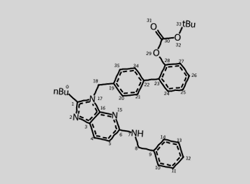 CCCCc1nc2ccc(NCc3ccccc3)nc2n1Cc1ccc(-c2ccccc2OC(=O)OC(C)(C)C)cc1